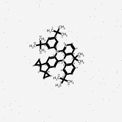 CC(C)(C)c1cc(N2c3cc4c(cc3B3c5cc(C(C)(C)C)ccc5C(C)(C)c5ccnc2c53)C2(CC2)CC42CC2)cc(C(C)(C)C)c1